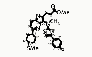 COC(=O)CCc1nc2ccc(C3CCN(SC)CC3)nn2c1N(C)c1nc(-c2ccc(F)cc2)cs1